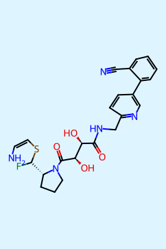 N#Cc1ccccc1-c1ccc(CNC(=O)[C@H](O)[C@@H](O)C(=O)N2CCC[C@@H]2C(F)S/C=C\N)nc1